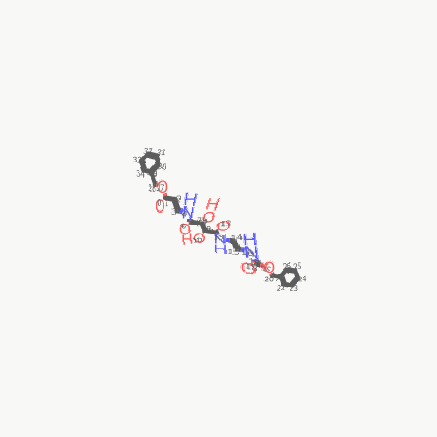 O=C(CCNC(=O)[C@@H](O)[C@@H](O)C(=O)NCCNC(=O)OCc1ccccc1)OCc1ccccc1